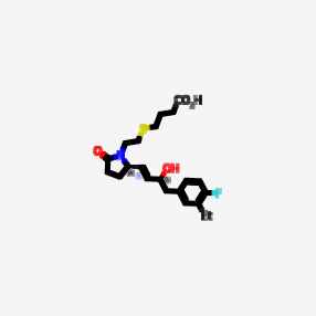 CCc1cc(C[C@H](O)/C=C/[C@H]2CCC(=O)N2CCSCCCC(=O)O)ccc1F